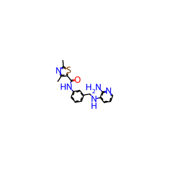 Cc1nc(C)c(C(=O)Nc2cccc(CNc3cccnc3N)c2)s1